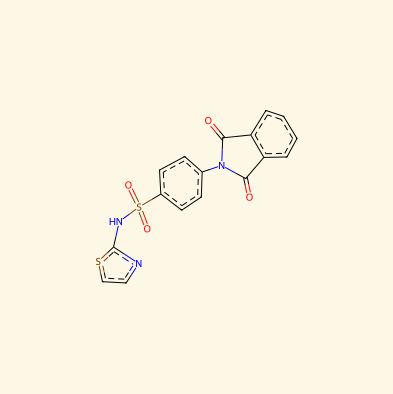 O=C1c2ccccc2C(=O)N1c1ccc(S(=O)(=O)Nc2nccs2)cc1